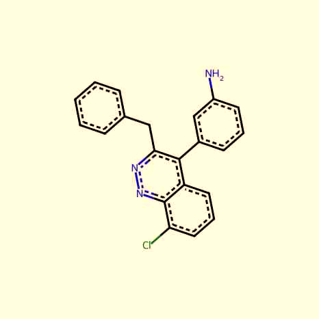 Nc1cccc(-c2c(Cc3ccccc3)nnc3c(Cl)cccc23)c1